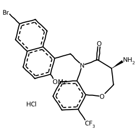 COc1ccc2cc(Br)ccc2c1CN1C(=O)[C@@H](N)COc2c1cccc2C(F)(F)F.Cl